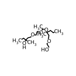 CCCC(C)(CCOCCO)OC(C)OCCOCCC(C)(O)CC